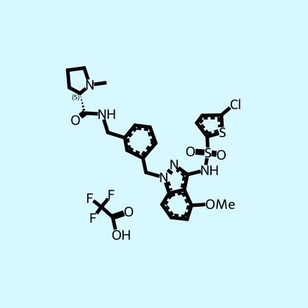 COc1cccc2c1c(NS(=O)(=O)c1ccc(Cl)s1)nn2Cc1cccc(CNC(=O)[C@@H]2CCCN2C)c1.O=C(O)C(F)(F)F